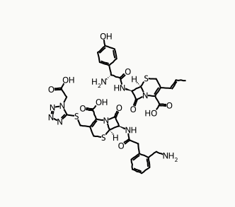 C/C=C/C1=C(C(=O)O)N2C(=O)[C@@H](NC(=O)[C@H](N)c3ccc(O)cc3)[C@H]2SC1.NCc1ccccc1CC(=O)N[C@@H]1C(=O)N2C(C(=O)O)=C(CSc3nnnn3CC(=O)O)CS[C@H]12